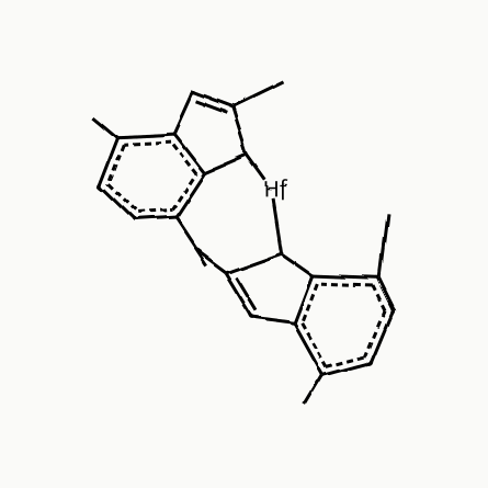 CC1=Cc2c(C)ccc(C)c2[CH]1[Hf][CH]1C(C)=Cc2c(C)ccc(C)c21